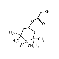 CC1(C)CC(OC(=O)CS)CC(C)(C)[N+]1(C)C